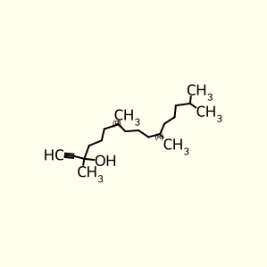 C#CC(C)(O)CCC[C@H](C)CCC[C@H](C)CCCC(C)C